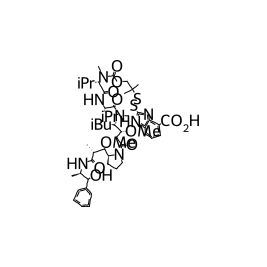 CC[C@H](C)[C@@H]([C@@H](CC(=O)N1CCC[C@H]1[C@H](OC)[C@@H](C)C(=O)N[C@H](C)[C@@H](O)c1ccccc1)OC)N(C)C(=O)[C@@H](NC(=O)[C@H](C(C)C)N(C)C(=O)OCC(C)(C)SSc1nc2c(C(=O)O)cccc2[nH]1)C(C)C